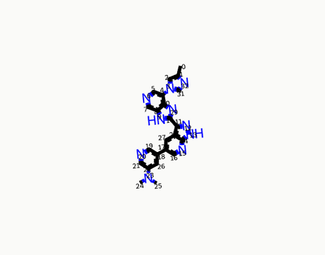 Cc1cn(-c2cncc3[nH]c(-c4n[nH]c5ncc(-c6cncc(N(C)C)c6)cc45)nc23)cn1